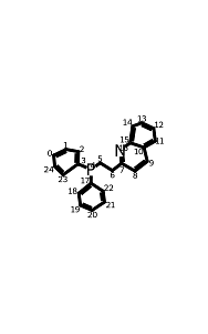 c1ccc(P(CCc2ccc3ccccc3n2)c2ccccc2)cc1